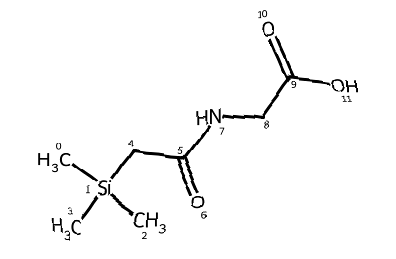 C[Si](C)(C)CC(=O)NCC(=O)O